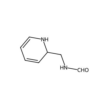 O=CNCC1C=CC=CN1